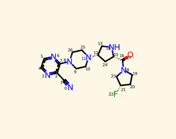 N#Cc1nccnc1N1CCN([C@@H]2CN[C@H](C(=O)N3CC[C@H](F)C3)C2)CC1